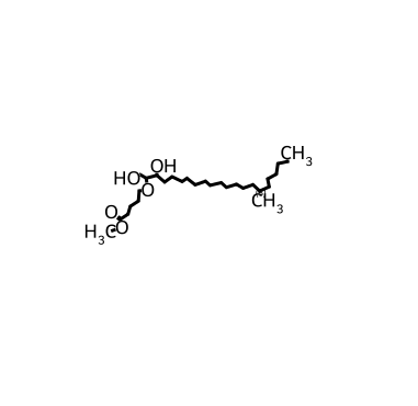 CCCCCC[C@H](C)CCCCCCCCCCCCC(O)C(CO)OCCCCC(=O)OC